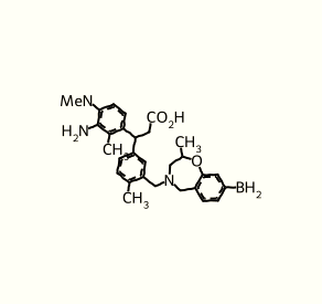 Bc1ccc2c(c1)OC(C)CN(Cc1cc(C(CC(=O)O)c3ccc(NC)c(N)c3C)ccc1C)C2